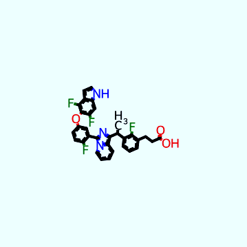 CC(c1cccc(CCC(=O)O)c1F)c1nc(-c2cc(Oc3c(F)cc4[nH]ccc4c3F)ccc2F)n2ccccc12